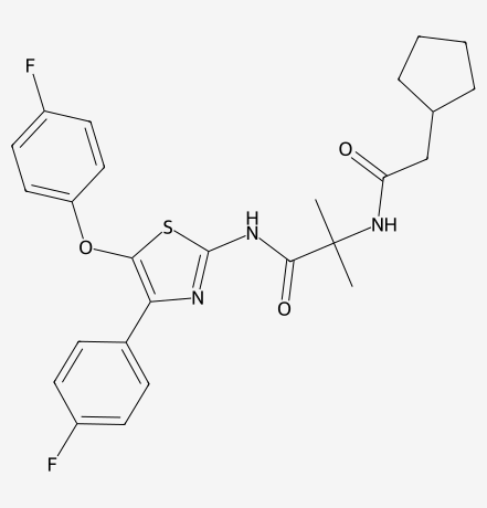 CC(C)(NC(=O)CC1CCCC1)C(=O)Nc1nc(-c2ccc(F)cc2)c(Oc2ccc(F)cc2)s1